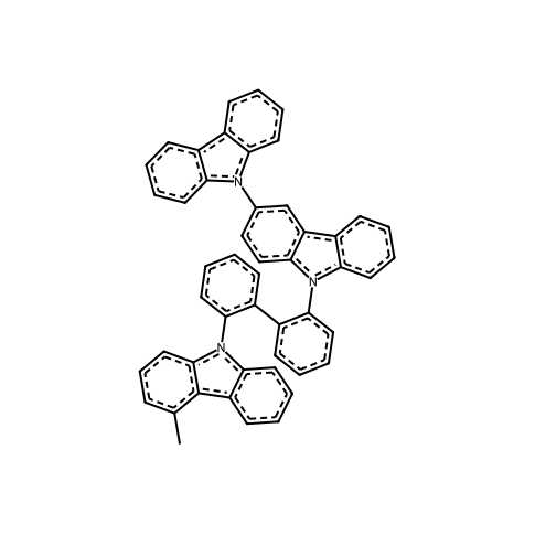 Cc1cccc2c1c1ccccc1n2-c1ccccc1-c1ccccc1-n1c2ccccc2c2cc(-n3c4ccccc4c4ccccc43)ccc21